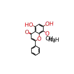 COc1c(O)cc(O)c2c(=O)cc(-c3ccccc3)oc12.[NaH]